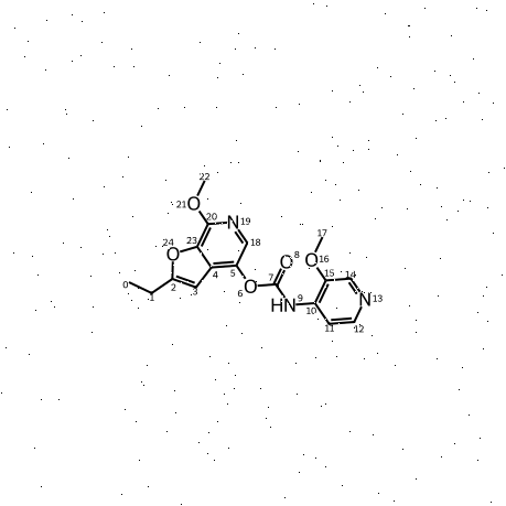 CCc1cc2c(OC(=O)Nc3ccncc3OC)cnc(OC)c2o1